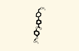 CCOc1ccc(OC(=O)c2ccc(C3CCC(CC)CC3)cc2)cc1